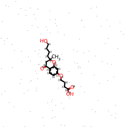 CC1(CCCCO)CC(=O)c2ccc(OCCCC(=O)O)cc2O1